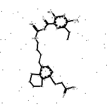 CCc1nc(C(=O)NC(=N)NCCCCc2ccc(CCC(N)=O)c3c2CCCC3)c(N)nc1N